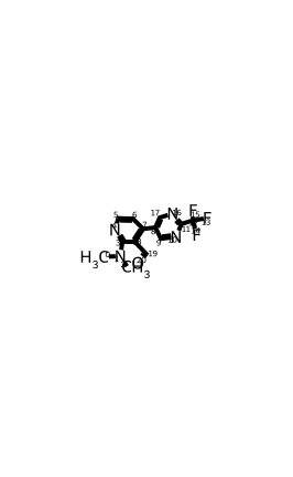 CN(C)c1nccc(-c2cnc(C(F)(F)F)nc2)c1C=O